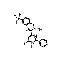 CN(Cc1ccc(C(F)(F)F)cc1)C(=O)c1cc(=O)[nH]c(-c2ccccc2)n1